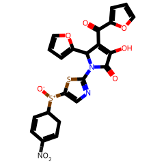 O=C(C1=C(O)C(=O)N(c2ncc([S+]([O-])C3C=CC([N+](=O)[O-])=CC3)s2)C1c1ccco1)c1ccco1